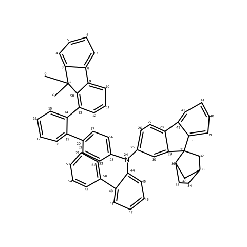 CC1(C)c2ccccc2-c2cccc(-c3ccccc3-c3ccc(N(c4ccc5c(c4)C4(CC6CCC4C6)c4ccccc4-5)c4ccccc4-c4ccccc4)cc3)c21